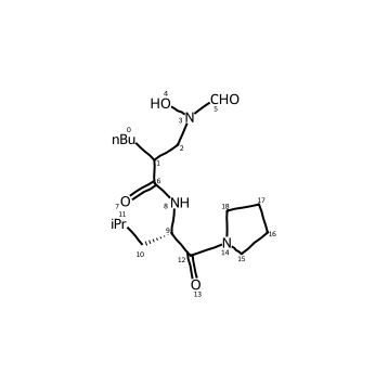 CCCCC(CN(O)C=O)C(=O)N[C@@H](CC(C)C)C(=O)N1CCCC1